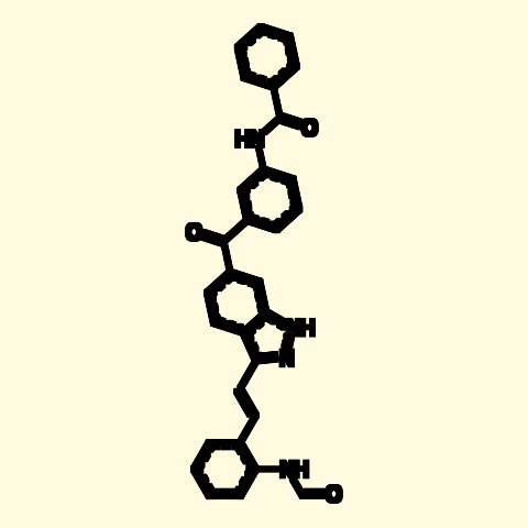 O=CNc1ccccc1/C=C/c1n[nH]c2cc(C(=O)c3cccc(NC(=O)c4ccccc4)c3)ccc12